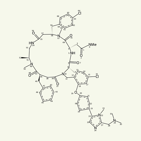 CNC(=O)C[C@@H]1NC(=O)[C@H](C)N(Cc2ccc(Cl)cc2Oc2ccc(-c3cnc(CN(C)C)n3C)cc2)C(=O)C[C@@H](Cc2ccccc2)C(=O)N(C)[C@@H](C)CNC(=O)C[C@H](Cc2ccc(Cl)cc2)N(C)C1=O